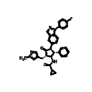 Cn1cc(C[C@@H]2C(=O)N(c3ccc4c(cnn4-c4ccc(F)cc4)c3)[C@H](c3ccccc3)[C@H]2NC(=O)C2CC2)cn1